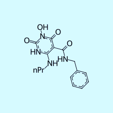 CCCNc1[nH]c(=O)n(O)c(=O)c1C(=O)NCc1ccccc1